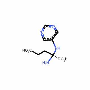 N[C@@](CCC(=O)O)(Nc1cncnc1)C(=O)O